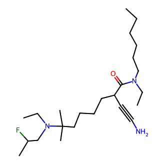 CCCCCCN(CC)C(=O)C(C#CN)CCCCC(C)(C)N(CC)CC(C)F